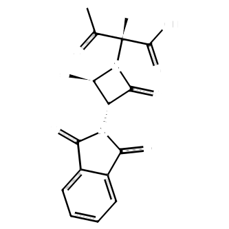 CC(=O)[C@](I)(C(=O)O)N1C(=O)[C@H](N2C(=O)c3ccccc3C2=O)[C@H]1Cl